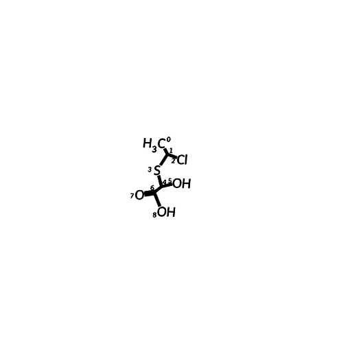 CC(Cl)SC(O)C(=O)O